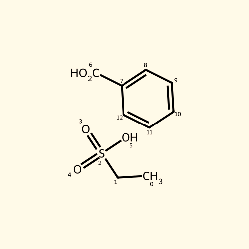 CCS(=O)(=O)O.O=C(O)c1ccccc1